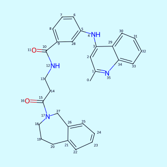 Cc1cc(Nc2cccc(C(=O)NCCC(=O)N3CCCc4ccccc4C3)c2)c2ccccc2n1